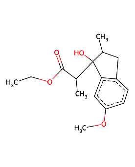 CCOC(=O)C(C)C1(O)c2cc(OC)ccc2CC1C